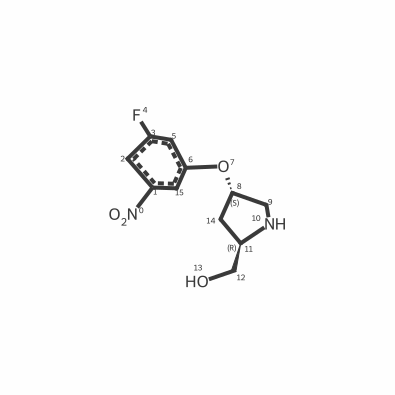 O=[N+]([O-])c1cc(F)cc(O[C@@H]2CN[C@@H](CO)C2)c1